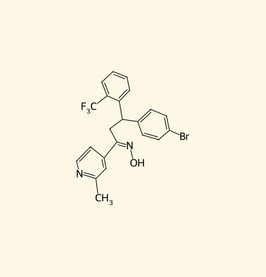 Cc1cc(C(CC(c2ccc(Br)cc2)c2ccccc2C(F)(F)F)=NO)ccn1